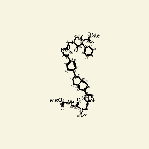 CCCN(Cc1ncc(-c2ccc3cc(-c4ccc(-c5cnc(CN(CC(C)=O)C(=O)[C@H](NC(=O)OC)c6ccccc6)[nH]5)cc4)ccc3c2)[nH]1)C(=O)CNC(=O)OC